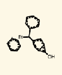 CCC(c1ccccc1)c1cc2c(O)c-2c1.[c]1ccccc1